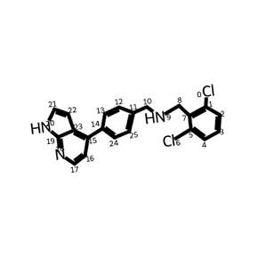 Clc1cccc(Cl)c1CNCc1ccc(-c2ccnc3[nH]ccc23)cc1